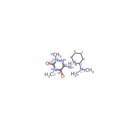 CN(C)C1CCCC[C@H]1Nc1nn(C)c(=O)n(C)c1=O